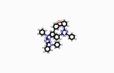 c1ccc(-c2nc(-c3ccccc3)nc(-c3cccc4oc5ccc(-c6ccc7c(c6)n(-c6ccccc6)c6nc8c9ccccc9n(-c9ccccc9)c8n76)cc5c34)n2)cc1